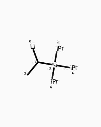 [Li][CH](C)[Si](C(C)C)(C(C)C)C(C)C